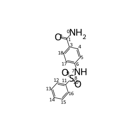 NC(=O)c1ccc(NS(=O)(=O)c2ccccc2)cc1